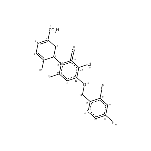 CC1=CN=C(C(=O)O)CC1n1c(C)cc(OCc2ncc(F)cc2F)c(Cl)c1=O